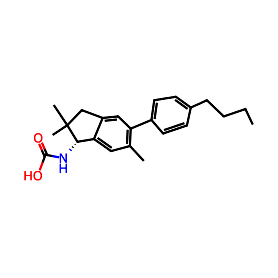 CCCCc1ccc(-c2cc3c(cc2C)[C@H](NC(=O)O)C(C)(C)C3)cc1